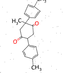 Cc1ccc(C2CC(=O)C(C)(c3ccc(C)cc3)CC2=O)cc1